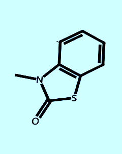 Cn1c(=O)sc2ccc[c]c21